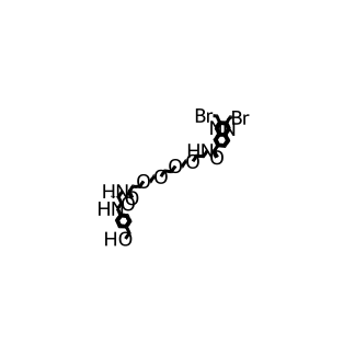 C[C@H](NC(=O)CCOCCOCCOCCOCCNC(=O)c1ccc2nc(CBr)c(CBr)nc2c1)C(=O)Nc1ccc(CO)cc1